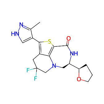 Cc1n[nH]cc1-c1sc2c3c1CC(F)(F)CN3C[C@H]([C@H]1CCCO1)NC2=O